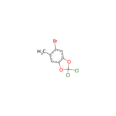 Cc1cc2c(cc1Br)OC(Cl)(Cl)O2